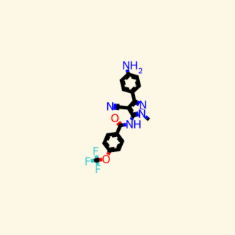 Cn1nc(-c2ccc(N)cc2)c(C#N)c1NC(=O)c1ccc(OC(F)(F)F)cc1